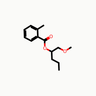 CCCC(COC)OC(=O)c1ccccc1C